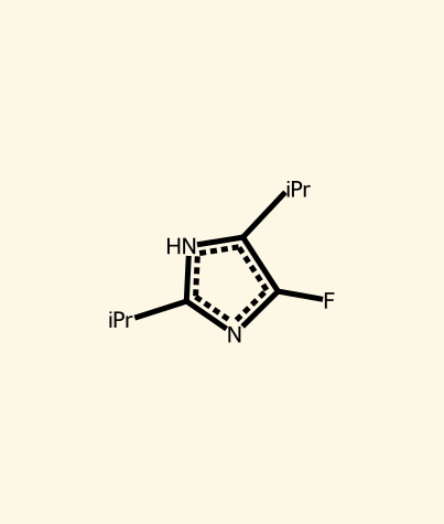 CC(C)c1nc(F)c(C(C)C)[nH]1